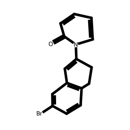 O=c1ccccn1C1=Cc2cc(Br)ccc2CC1